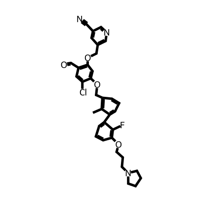 Cc1c(COc2cc(OCc3cncc(C#N)c3)c(C=O)cc2Cl)cccc1-c1cccc(OCCCN2CCCC2)c1F